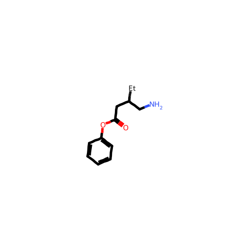 CCC(CN)CC(=O)Oc1ccccc1